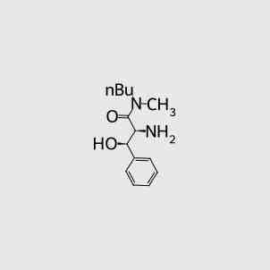 CCCCN(C)C(=O)[C@@H](N)[C@H](O)c1ccccc1